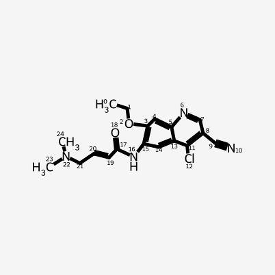 CCOc1cc2ncc(C#N)c(Cl)c2cc1NC(=O)C=CCN(C)C